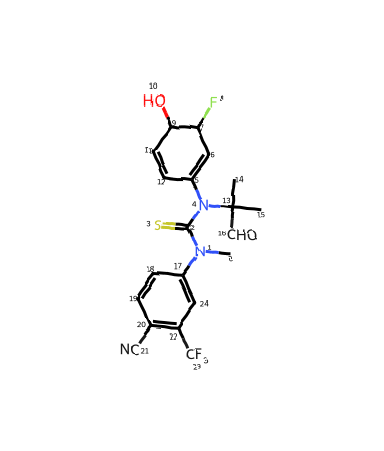 CN(C(=S)N(C1=CC(F)C(O)C=C1)C(C)(C)C=O)c1ccc(C#N)c(C(F)(F)F)c1